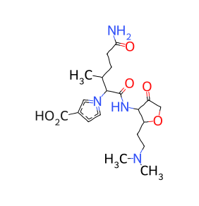 CC(CCC(N)=O)C(C(=O)NC1C(=O)COC1CCN(C)C)n1ccc(C(=O)O)c1